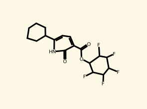 O=C(OC1C(F)C(F)C(F)C(F)C1F)c1ccc(C2CCCCC2)[nH]c1=O